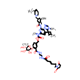 CCN(C(=O)OCc1ccc(O[C@@H]2O[C@H](C(=O)O)[C@@H](O)[C@H](O)[C@H]2O)c(C(=O)NCCNC(=O)CCCCCN2C(=O)C=CC2=O)c1)c1cc(C2(c3nncn3C)CC(C)C2)cc(N2Cc3c(SC)cc(CN4CCC[C@H](C)C4)cc3C2=O)n1